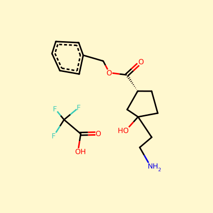 NCCC1(O)CC[C@@H](C(=O)OCc2ccccc2)C1.O=C(O)C(F)(F)F